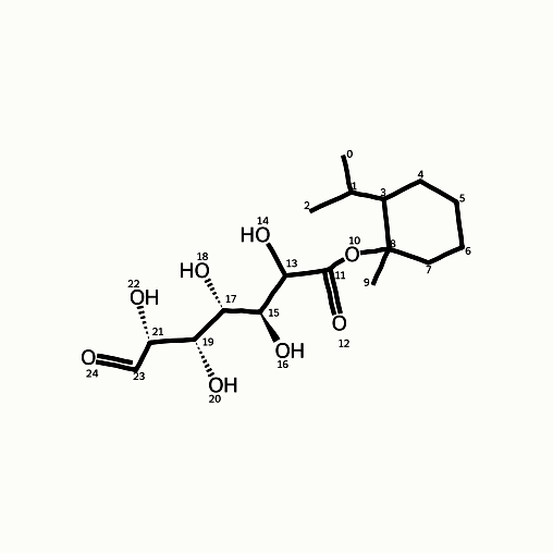 CC(C)C1CCCCC1(C)OC(=O)C(O)[C@@H](O)[C@@H](O)[C@H](O)[C@@H](O)C=O